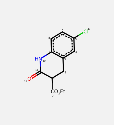 CCOC(=O)C1Cc2cc(Cl)ccc2NC1=O